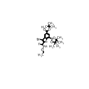 CCOPC(F)c1sc2c(B3OC(C)(C)C(C)(C)O3)cc(C(=O)OC(C)(C)C)cc2c1Br